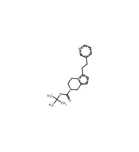 CC(C)(C)OC(=O)N1CCn2c(CCc3cccnc3)ccc2C1